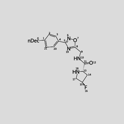 CCCCCCCCCCc1ccc(-c2noc(CNC(=O)[C@@H]3C[C@@H](F)CN3)n2)cc1